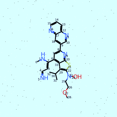 CN/C(=C\C=N)c1cc(-c2cnc3cccnc3c2)nc2sc(N(O)CCOC)c(C(C)C)c12